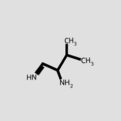 CC(C)C(N)C=N